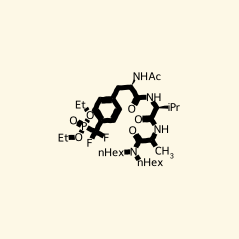 CCCCCCN(CCCCCC)C(=O)C(C)NC(=O)[C@@H](NC(=O)[C@H](Cc1ccc(C(F)(F)P(=O)(OCC)OCC)cc1)NC(C)=O)C(C)C